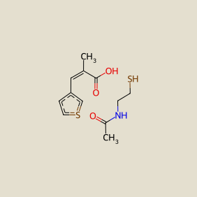 CC(=Cc1ccsc1)C(=O)O.CC(=O)NCCS